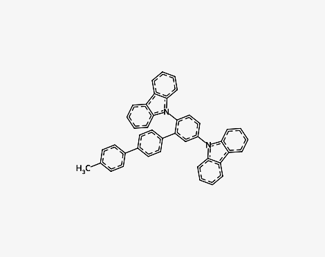 Cc1ccc(-c2ccc(-c3cc(-n4c5ccccc5c5ccccc54)ccc3-n3c4ccccc4c4ccccc43)cc2)cc1